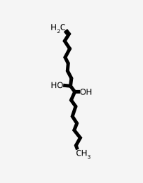 C=CCCCCCCC(O)C(O)CCCCCCCC